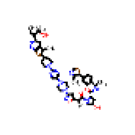 C=C(O)/C(=C\C)c1cc2c(C)c(C3CCN(c4ncc(N5CCN(c6cc(C(C(=O)N7C[C@H](O)C[C@H]7C(=O)NC(C)c7ccc(-c8scnc8C)cc7)C(C)C)on6)CC5)cn4)CC3)sc2nn1